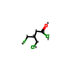 O=C(Cl)CC(CF)CCl